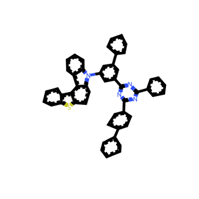 c1ccc(-c2ccc(-c3nc(-c4ccccc4)nc(-c4cc(-c5ccccc5)cc(-n5c6ccccc6c6c7c(ccc65)sc5ccccc57)c4)n3)cc2)cc1